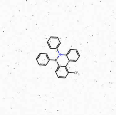 FC(F)(F)c1cccc2c1-c1ccccc1N(c1ccccc1)B2c1ccccc1